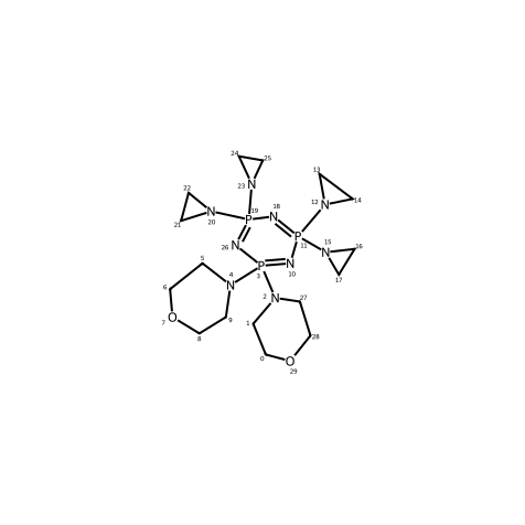 C1CN(P2(N3CCOCC3)=NP(N3CC3)(N3CC3)=NP(N3CC3)(N3CC3)=N2)CCO1